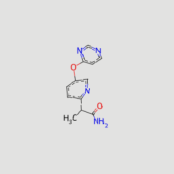 CC(C(N)=O)c1ccc(Oc2ccncn2)cn1